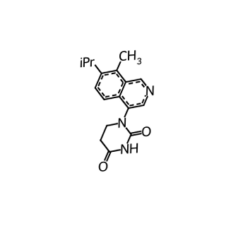 Cc1c(C(C)C)ccc2c(N3CCC(=O)NC3=O)cncc12